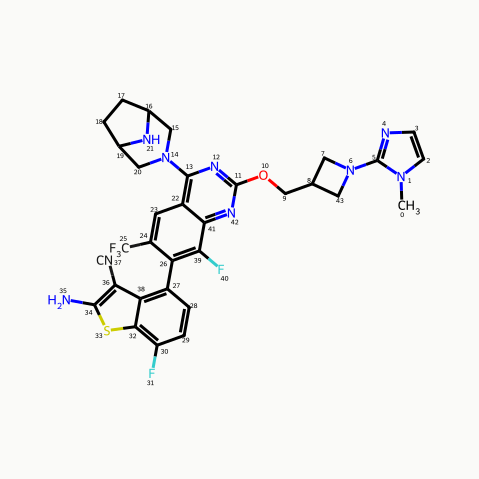 Cn1ccnc1N1CC(COc2nc(N3CC4CCC(C3)N4)c3cc(C(F)(F)F)c(-c4ccc(F)c5sc(N)c(C#N)c45)c(F)c3n2)C1